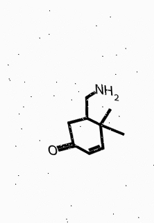 CC1(C)C=CC(=O)CC1CN